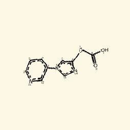 O=C(O)Oc1cn(-c2cccnc2)cn1